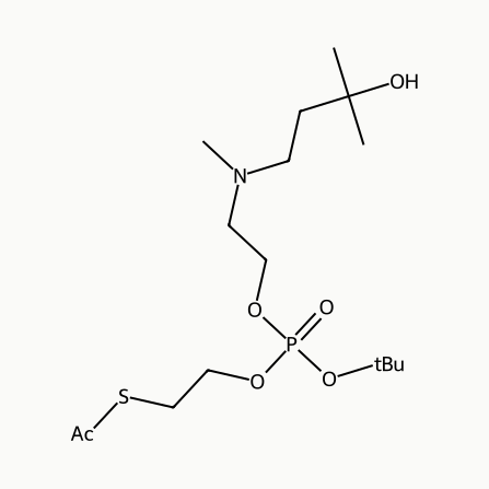 CC(=O)SCCOP(=O)(OCCN(C)CCC(C)(C)O)OC(C)(C)C